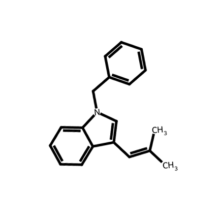 CC(C)=Cc1cn(Cc2ccccc2)c2ccccc12